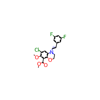 COC(=O)c1c(OC)c(Cl)cc2c1OCCN2/C=C/c1cc(F)cc(F)c1